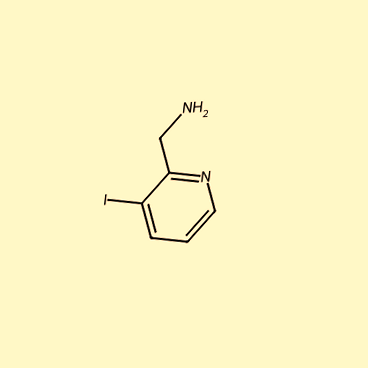 NCc1ncccc1I